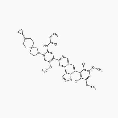 C=CC(=O)Nc1cc(-c2cc3c(cn2)cc(-c2c(Cl)c(OC)cc(OC)c2Cl)c2nccn23)c(OC)cc1N1CCC2(CCN(C3CC3)CC2)C1